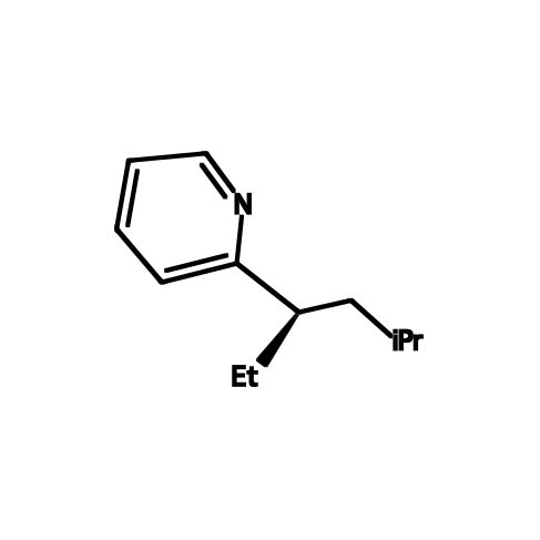 CC[C@H](CC(C)C)c1ccccn1